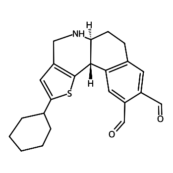 O=Cc1cc2c(cc1C=O)[C@@H]1c3sc(C4CCCCC4)cc3CN[C@H]1CC2